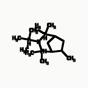 CC1CC2CC1[PH](C)(C)N([PH](C)(C)C)[PH]2(C)C